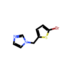 Brc1ccc(Cn2ccnc2)s1